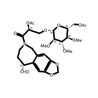 CO[C@@H]1[C@@H](OC)[C@H](OC[C@H](OC(C)=O)C(=O)N2CC[C@@H](C=O)c3cc4c(cc3C2)OCO4)O[C@H](COC(C)=O)[C@H]1OC